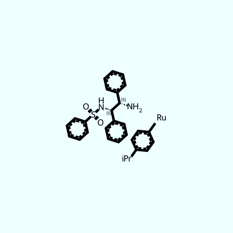 Cc1ccc(C(C)C)cc1.N[C@@H](c1ccccc1)[C@@H](NS(=O)(=O)c1ccccc1)c1ccccc1.[Ru]